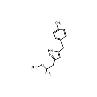 Cc1ccc(Cc2cc(CC(C)OC=O)n[nH]2)cc1